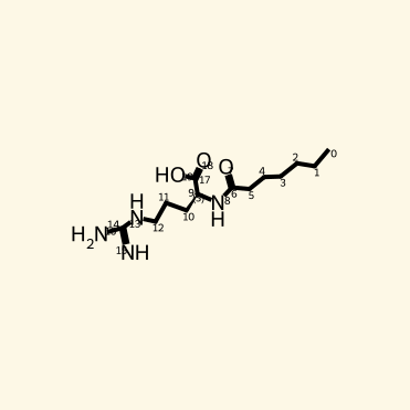 CCCCCCC(=O)N[C@@H](CCCNC(=N)N)C(=O)O